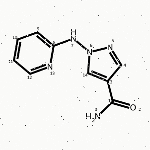 NC(=O)c1cnn(Nc2ccccn2)c1